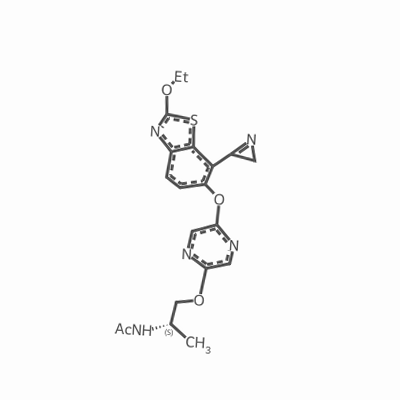 CCOc1nc2ccc(Oc3cnc(OC[C@H](C)NC(C)=O)cn3)c(C3=NC3)c2s1